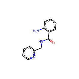 Nc1ccccc1C(=O)NCc1ccccn1